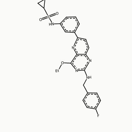 CCOc1nc(NCc2ccc(F)cc2)nc2ccc(-c3cccc(NS(=O)(=O)C4CC4)c3)nc12